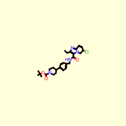 CCc1nc2n(c1C(=O)NCc1ccc(C3CCN(C(=O)OC(C)(C)C)CC3)cc1)CC(Cl)C=C2